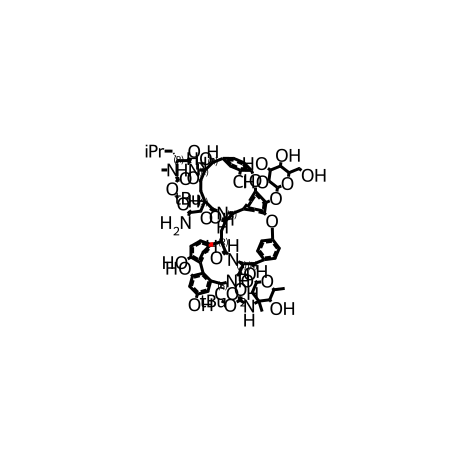 CC(C)C[C@H](C(=O)N[C@H]1C(=O)C[C@@H](CC(N)=O)C(=O)N[C@H]2C(=O)C[C@H]3C(=O)N[C@H](C(=O)N[C@H](C(=O)O)c4cc(O)cc(O)c4-c4cc3ccc4O)[C@H](OC3CC(C)(NC(=O)OC(C)(C)C)C(O)C(C)O3)c3ccc(cc3)Oc3cc2cc(c3OC2OC(CO)C(O)C(O)C2O)Oc2ccc(cc2Cl)[C@H]1O)N(C)C(=O)OC(C)(C)C